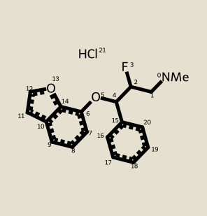 CNCC(F)C(Oc1cccc2ccoc12)c1ccccc1.Cl